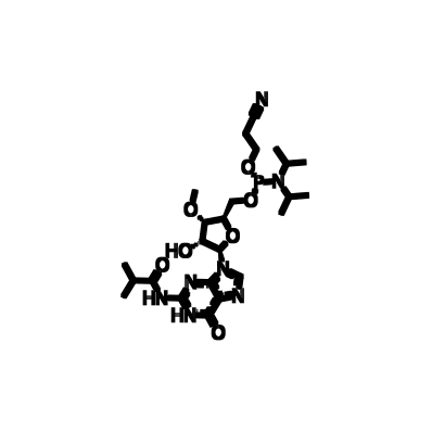 CO[C@H]1[C@@H](O)[C@H](n2cnc3c(=O)[nH]c(NC(=O)C(C)C)nc32)O[C@@H]1COP(OCCC#N)N(C(C)C)C(C)C